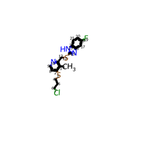 Cc1c(SCCCCl)ccnc1CSc1nc2cc(F)ccc2[nH]1